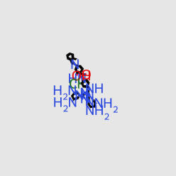 N[C@@H]1C[C@H](N)CN(c2nc(Nc3ccc(NC(=O)c4ccc(N5Cc6ccccc6C5)cc4O)c(Cl)c3)nc(N3C[C@H](N)C[C@H](N)C3)n2)C1